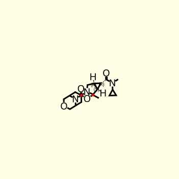 CCOC(=O)N1C2COCC1CC(N1C[C@@H]3[C@H](C1)[C@H]3C(=O)N(C)C1CC1)C2